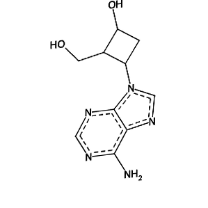 Nc1ncnc2c1ncn2C1CC(O)C1CO